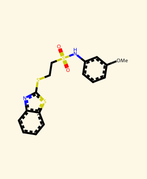 COc1cccc(NS(=O)(=O)CCSc2nc3ccccc3s2)c1